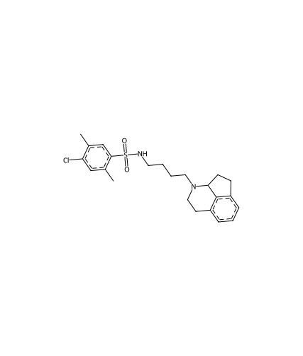 Cc1cc(S(=O)(=O)NCCCCN2CCc3cccc4c3C2CC4)c(C)cc1Cl